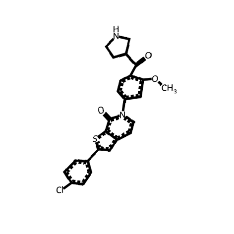 COc1cc(-n2ccc3cc(-c4ccc(Cl)cc4)sc3c2=O)ccc1C(=O)C1CCNC1